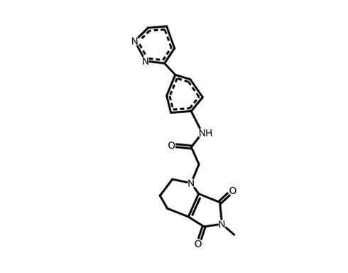 CN1C(=O)C2=C(C1=O)N(CC(=O)Nc1ccc(-c3cccnn3)cc1)CCC2